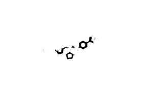 Cc1ccc(CN(C(=O)Nc2ccc(-c3cnoc3)cc2)C2CCCC2)o1